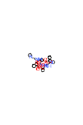 O=C(OC1CC2CCC1C(C(=O)NC(=O)C1C3CCC(CC3OC(=O)c3cccc4ccccc34)C1C(=O)NCCCN1CCCCC1)C2C(=O)NCCCN1CCCCC1)c1cccc2ccccc12